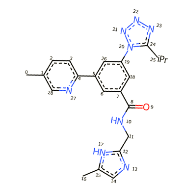 Cc1ccc(-c2cc(C(=O)NCc3ncc(C)[nH]3)cc(-n3nnnc3C(C)C)c2)nc1